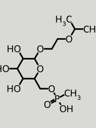 CC(C)OCCOC1OC(COP(C)(=O)O)C(O)C(O)C1O